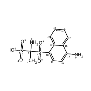 CC(N)(S(=O)(=O)O)S(=O)(=O)c1ccc(N)c2ccccc12